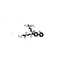 C=CC(=O)NCCNc1c2ccc(-c3ccccc3F)cc2nn1CCCN(C)C